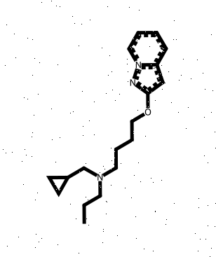 CCCN(CCCCOc1cc2ccccn2n1)CC1CC1